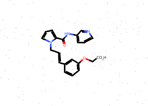 O=C(O)COc1cccc(/C=C/Cn2cccc2C(=O)Nc2cccnc2)c1